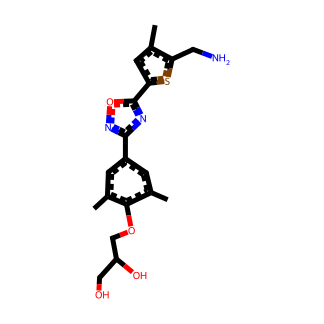 Cc1cc(-c2nc(-c3cc(C)c(OCC(O)CO)c(C)c3)no2)sc1CN